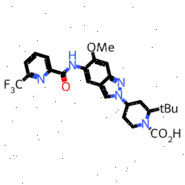 COc1cc2nn(C3CCN(C(=O)O)C(C(C)(C)C)C3)cc2cc1NC(=O)c1cccc(C(F)(F)F)n1